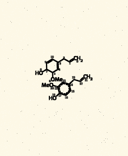 C=CCC1=CC(OC)C(O)C=C1.C=CCc1ccc(O)c(OC)c1